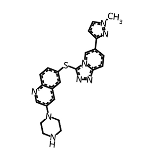 Cn1ccc(-c2ccc3nnc(Sc4ccc5ncc(N6CCNCC6)cc5c4)n3c2)n1